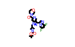 CC(C)(C)OC(=O)N1CC(Cn2nc(-c3cnc4c(F)cc(F)cn34)c3cnc(C(=O)N4CCCOCC4)cc32)C1